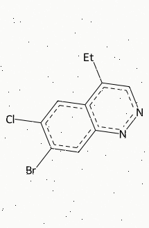 CCc1cnnc2cc(Br)c(Cl)cc12